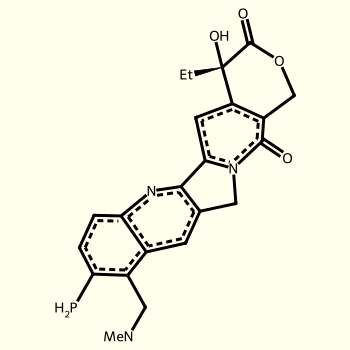 CC[C@@]1(O)C(=O)OCc2c1cc1n(c2=O)Cc2cc3c(CNC)c(P)ccc3nc2-1